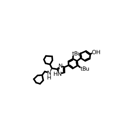 CC(C)(C)c1cc(-c2c[nH]c([C@@H](NCC3CCCCC3)C3CCCCC3)n2)cc(C(C)(C)C)c1-c1ccc(O)cc1